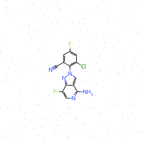 N#Cc1cc(F)cc(Cl)c1-n1cc2c(N)ncc(F)c2n1